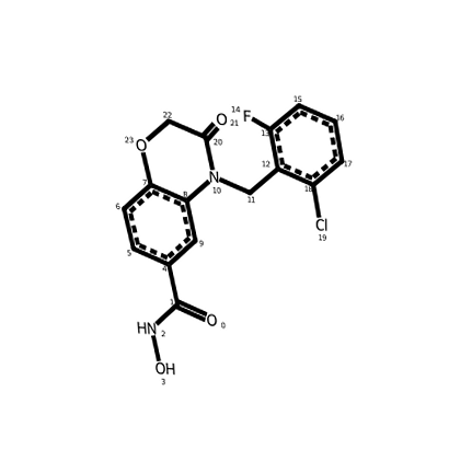 O=C(NO)c1ccc2c(c1)N(Cc1c(F)cccc1Cl)C(=O)CO2